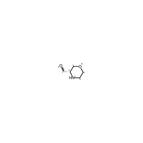 O=C[C@@H]1COCCN1